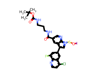 CC(C)(C)OC(=O)NCCCNC(=O)c1cnc2c(c1)c(-c1cc(F)c3nccc(Cl)c3c1)cn2SOI